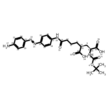 CC(C)(C)OC(=O)N[C@@H](C[C@H](CCCC(=O)Nc1ccc(N=Nc2ccc(N)cc2)cc1)C(=O)O)C(=O)O